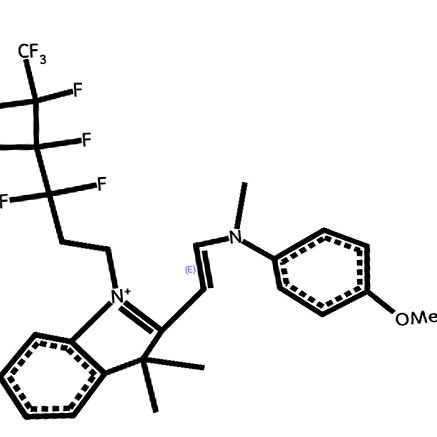 COc1ccc(N(C)/C=C/C2=[N+](CCC(F)(F)C(F)(F)C(F)(F)C(F)(F)F)c3ccccc3C2(C)C)cc1